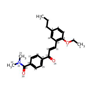 CCCc1ccc(OCC)c(C=CC(=O)c2ccc(C(=O)N(C)C)cc2)c1